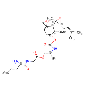 CO[C@@H]1[C@H](OC(=O)N[C@@H](COC(=O)CNC(=O)[C@@H](N)CCSC)C(C)C)CC[C@]2(CO2)[C@H]1[C@@]1(C)O[C@@H]1CC=C(C)C